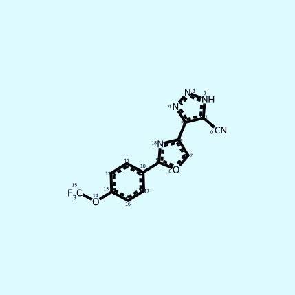 N#Cc1[nH]nnc1-c1coc(-c2ccc(OC(F)(F)F)cc2)n1